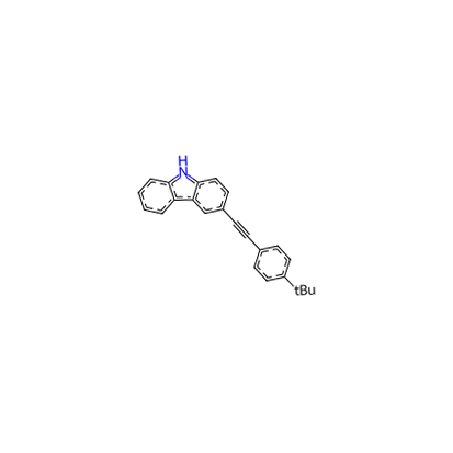 CC(C)(C)c1ccc(C#Cc2ccc3[nH]c4ccccc4c3c2)cc1